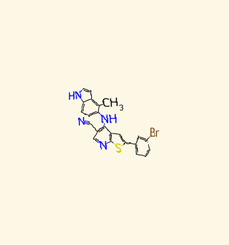 Cc1c(Nc2c(C#N)cnc3sc(-c4cccc(Br)c4)cc23)ccc2[nH]ccc12